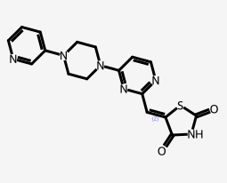 O=C1NC(=O)/C(=C/c2nccc(N3CCN(c4cccnc4)CC3)n2)S1